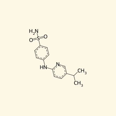 CC(C)c1ccc(Nc2ccc(S(N)(=O)=O)cc2)nc1